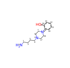 NCCCCN1CCN(c2ccccc2O)CC1